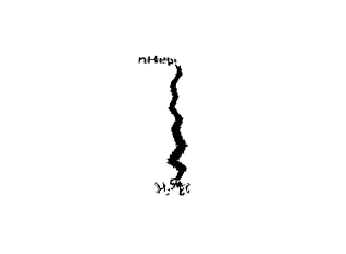 CCCCCCCCCCCCCCCC[SiH2]CC